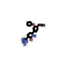 COc1ccc(-c2ccc(-c3nnn[nH]3)c(=O)[nH]2)cc1OC1CCCC1